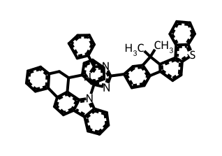 CC1(C)c2cc(-c3nc(-c4ccccc4)nc(-n4c5ccccc5c5ccc6c(c54)C(c4ccccc4)Cc4ccccc4-6)n3)ccc2-c2ccc3sc4ccccc4c3c21